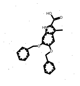 Cc1c(C(=O)O)[nH]c2cc(OCc3ccccc3)c(OCc3ccccc3)cc12